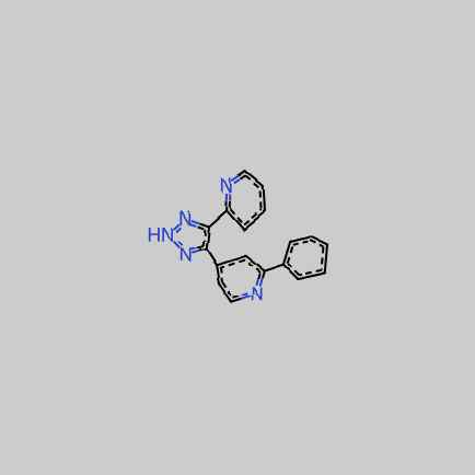 c1ccc(-c2cc(-c3n[nH]nc3-c3ccccn3)ccn2)cc1